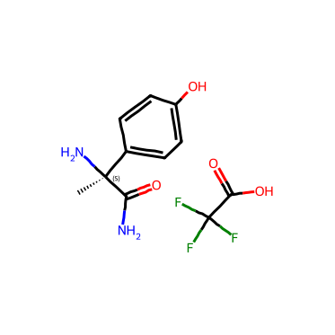 C[C@@](N)(C(N)=O)c1ccc(O)cc1.O=C(O)C(F)(F)F